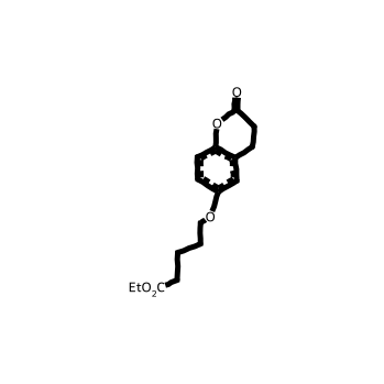 CCOC(=O)CCCCOc1ccc2c(c1)CCC(=O)O2